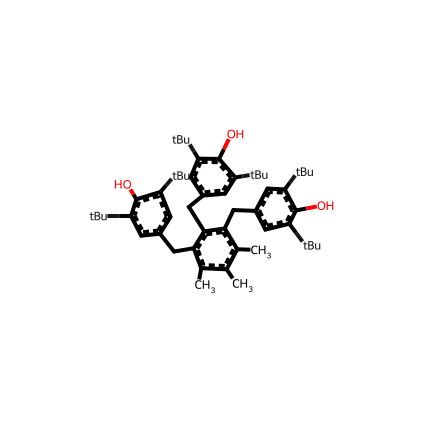 Cc1c(C)c(Cc2cc(C(C)(C)C)c(O)c(C(C)(C)C)c2)c(Cc2cc(C(C)(C)C)c(O)c(C(C)(C)C)c2)c(Cc2cc(C(C)(C)C)c(O)c(C(C)(C)C)c2)c1C